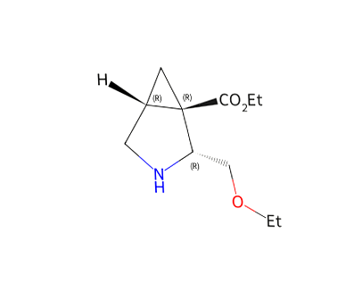 CCOC[C@@H]1NC[C@@H]2C[C@@]21C(=O)OCC